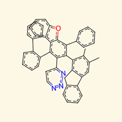 Cc1cc2c(c(-c3c(-c4ccnnn4)c(-c4ccccc4-c4ccccc4)c4c(oc5ccccc54)c3-c3ccccc3)c1C)Cc1ccccc1-2